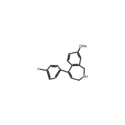 COc1ccc2c(c1)CNCC=C2c1ccc(F)cc1